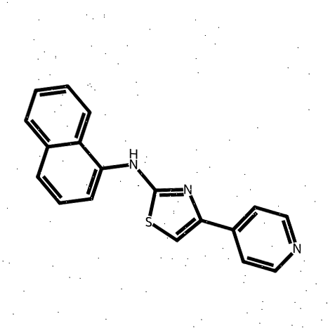 c1ccc2c(Nc3nc(-c4ccncc4)cs3)cccc2c1